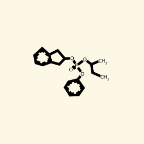 CCC(C)OP(=O)(Oc1ccccc1)OC1Cc2ccccc2C1